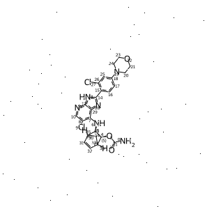 NC(=O)O[C@@H]1[C@H](Nc2c(Cl)cnc3[nH]c(-c4ccc(N5CCOCC5)cc4Cl)nc23)[C@H]2C=C[C@@H]1C2